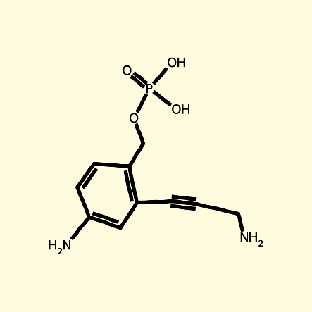 NCC#Cc1cc(N)ccc1COP(=O)(O)O